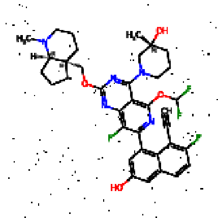 C#Cc1c(F)ccc2cc(O)cc(-c3nc(OC(F)F)c4c(N5CCC[C@@](C)(O)C5)nc(OC[C@]56CCC[C@H]5N(C)CCC6)nc4c3F)c12